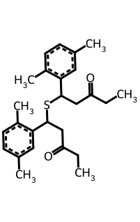 CCC(=O)CC(SC(CC(=O)CC)c1cc(C)ccc1C)c1cc(C)ccc1C